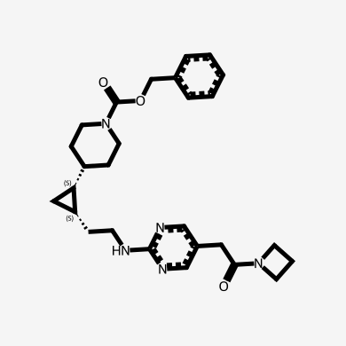 O=C(Cc1cnc(NCC[C@@H]2C[C@@H]2C2CCN(C(=O)OCc3ccccc3)CC2)nc1)N1CCC1